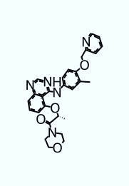 Cc1cc(Nc2ncnc3cccc(O[C@H](C)C(=O)N4CCOCC4)c23)ccc1OCc1ccccn1